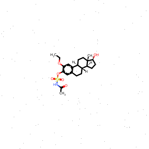 CCOc1cc2c(cc1OS(=O)(=O)NC(C)=O)CC[C@@H]1[C@@H]2CC[C@]2(C)[C@@H](O)CC[C@@H]12